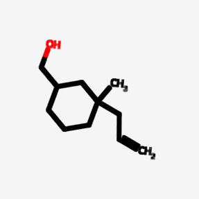 C=CCC1(C)CCCC(CO)C1